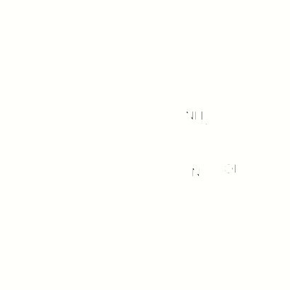 CC1CCCCCC(/C(N)=N/O)CC1